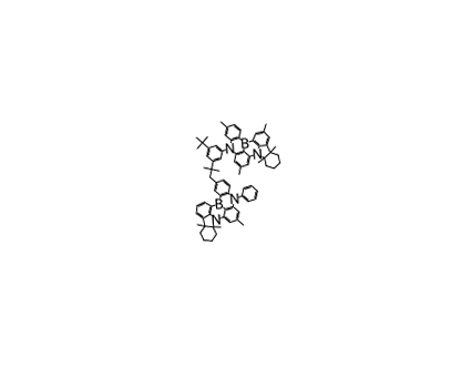 Cc1ccc2c(c1)N(c1cc(C(C)(C)C)cc(C(C)(C)Cc3ccc4c(c3)B3c5cccc6c5N(c5cc(C)cc(c53)N4c3ccccc3)C3(C)CCCCC63C)c1)c1cc(C)cc3c1B2c1cc(C)cc2c1N3C1(C)CCCCC21C